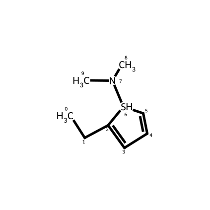 CCC1=CC=C[SH]1N(C)C